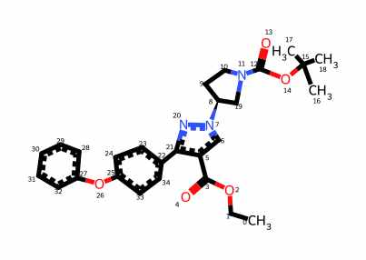 CCOC(=O)c1cn([C@H]2CCN(C(=O)OC(C)(C)C)C2)nc1-c1ccc(Oc2ccccc2)cc1